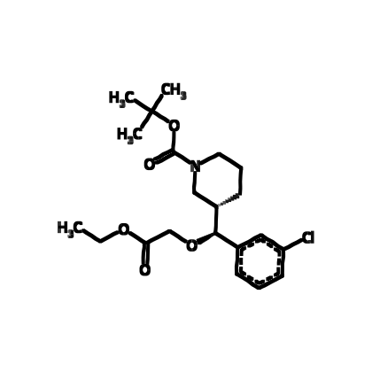 CCOC(=O)CO[C@H](c1cccc(Cl)c1)[C@H]1CCCN(C(=O)OC(C)(C)C)C1